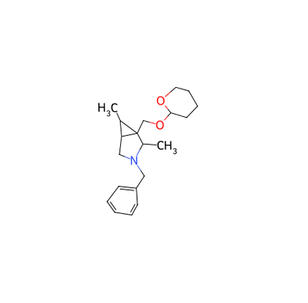 CC1C2CN(Cc3ccccc3)C(C)C12COC1CCCCO1